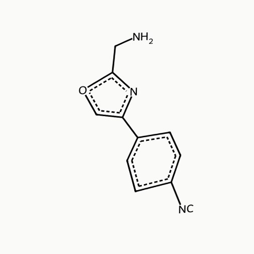 [C-]#[N+]c1ccc(-c2coc(CN)n2)cc1